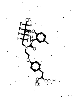 CCOC(Cc1ccc(OCCN(CC(F)(F)C(F)(F)C(F)(F)C(F)(F)C(F)(F)F)C(=O)Nc2cc(C)ccc2OC)cc1)C(=O)O